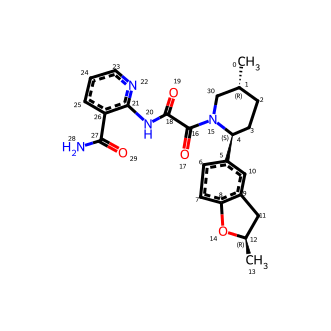 C[C@@H]1CC[C@@H](c2ccc3c(c2)C[C@@H](C)O3)N(C(=O)C(=O)Nc2ncccc2C(N)=O)C1